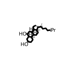 CC(C)CCC[C@@H](C)[C@H]1CC[C@H]2[C@@H]3C[C@H](O)C4C[C@@H](O)CC[C@]4(C)[C@H]3CC[C@]12C